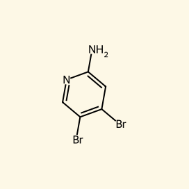 Nc1cc(Br)c(Br)cn1